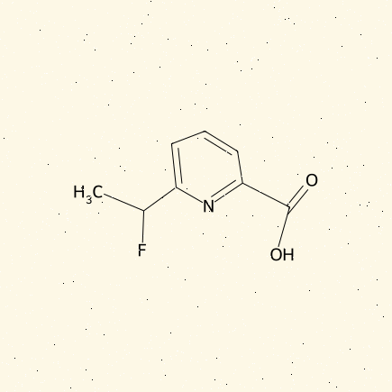 CC(F)c1cccc(C(=O)O)n1